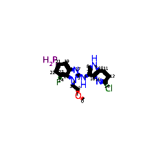 COCCn1c(Nc2c[nH]c3ccc(Cl)nc23)nc2cc(P)cc(F)c21